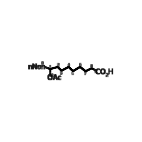 CCCCCCCCCC(CCCCCCCC(=O)O)OC(C)=O